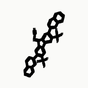 N#CN=C1c2cc(-c3ccc4ccccc4c3)c(C(F)(F)F)cc2-c2cc(C(F)(F)F)c(-c3ccc4ccccc4c3)cc21